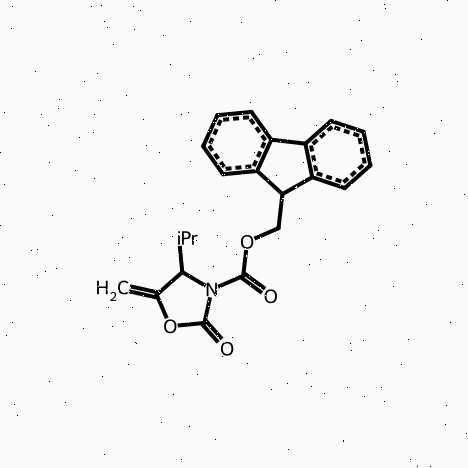 C=C1OC(=O)N(C(=O)OCC2c3ccccc3-c3ccccc32)C1C(C)C